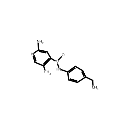 CCc1ccc(N[S+]([O-])c2cc(N)ncc2C)cc1